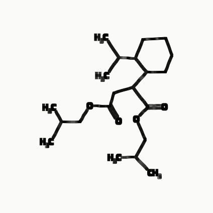 CC(C)COC(=O)CC(C(=O)OCC(C)C)C1CCCCC1C(C)C